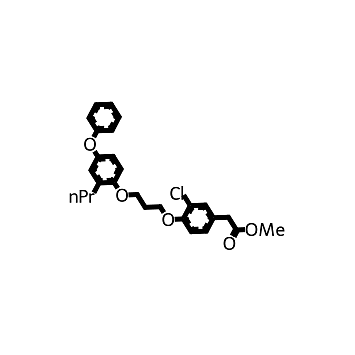 CCCc1cc(Oc2ccccc2)ccc1OCCCOc1ccc(CC(=O)OC)cc1Cl